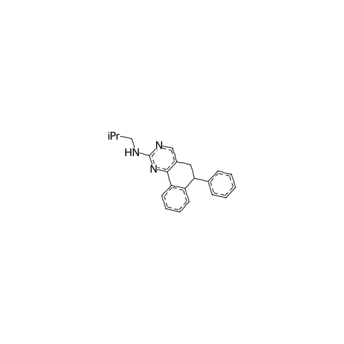 CC(C)CNc1ncc2c(n1)-c1ccccc1C(c1ccccc1)C2